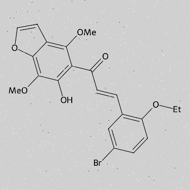 CCOc1ccc(Br)cc1C=CC(=O)c1c(O)c(OC)c2occc2c1OC